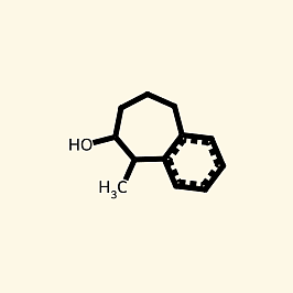 CC1c2ccccc2CCCC1O